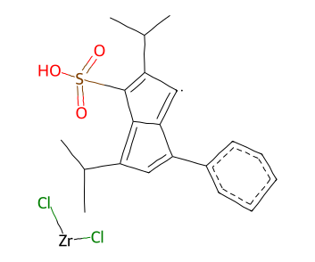 CC(C)C1=C(S(=O)(=O)O)C2=C(C(C)C)C=C(c3ccccc3)C2=[C]1.[Cl][Zr][Cl]